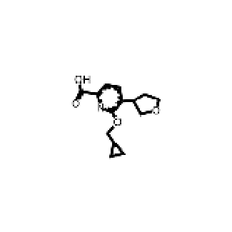 O=C(O)c1ccc(C2CCOC2)c(OCC2CC2)n1